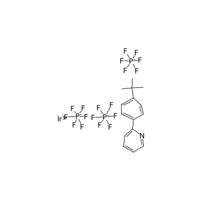 CC(C)(C)c1ccc(-c2ccccn2)cc1.F[P-](F)(F)(F)(F)F.F[P-](F)(F)(F)(F)F.F[P-](F)(F)(F)(F)F.[Ir+3]